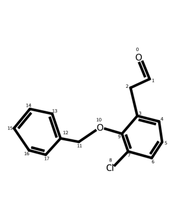 O=CCc1cccc(Cl)c1OCc1ccccc1